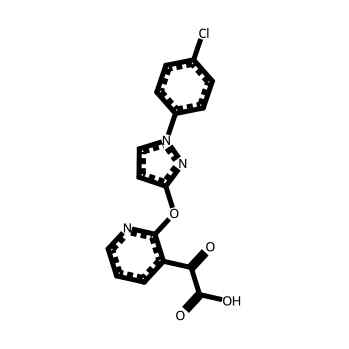 O=C(O)C(=O)c1cccnc1Oc1ccn(-c2ccc(Cl)cc2)n1